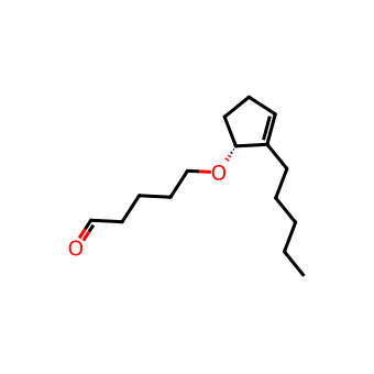 CCCCCC1=CCC[C@H]1OCCCCC=O